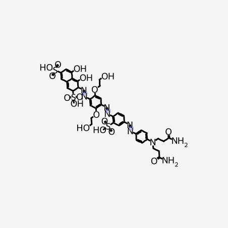 NC(=O)CCN(CCC(N)=O)c1ccc(/N=N/c2ccc(/N=N/c3cc(OCCO)c(/N=N/C4C(O)=c5c(O)cc(S(=O)(=O)O)cc5=CC4S(=O)(=O)O)cc3OCCO)c(S(=O)(=O)O)c2)cc1